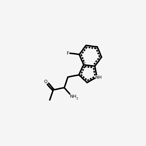 CC(=O)C(N)Cc1c[nH]c2cccc(F)c12